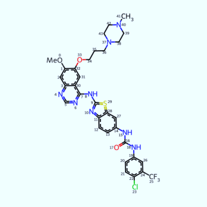 COc1cc2ncnc(Nc3nc4ccc(NC(=O)Nc5ccc(Cl)c(C(F)(F)F)c5)cc4s3)c2cc1OCCCN1CCN(C)CC1